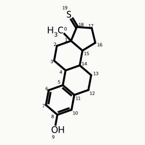 CC12CCC3c4ccc(O)cc4CCC3C1CCC2=S